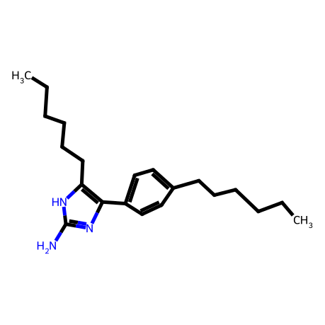 CCCCCCc1ccc(-c2nc(N)[nH]c2CCCCCC)cc1